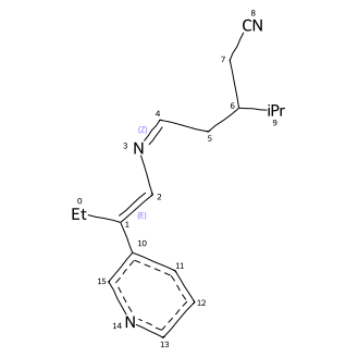 CC/C(=C\N=C/CC(CC#N)C(C)C)c1cccnc1